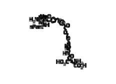 CCCCCNc1nc(N)nc2ccn(Cc3ccc(CN4CCN(C(=O)CCOCCOCCn5cc(CNC(=O)C[C@H](SC[C@H](N)C(=O)O)C(=O)O)nn5)CC4)cc3OC)c12